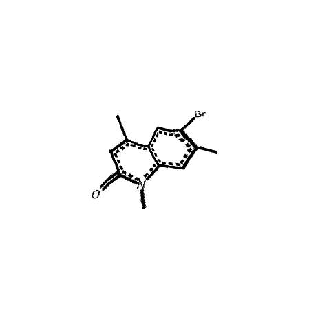 Cc1cc2c(cc1Br)c(C)cc(=O)n2C